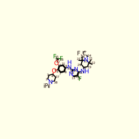 CC(C)N1CCC(Oc2ccc(Nc3ncc(F)c(NC4CC(C)(C)N(CC(F)(F)F)C(C)(C)C4)n3)cc2OC(F)F)CC1